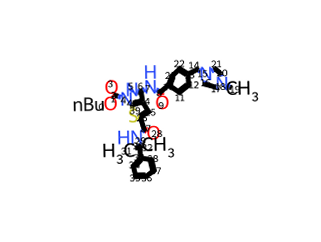 CCCCOC(=O)n1nc(NC(=O)c2ccc(CN3CCN(C)CC3)cc2)c2cc(C(=O)NC(C)(C)c3ccccc3)sc21